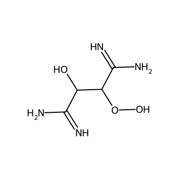 N=C(N)C(O)C(OO)C(=N)N